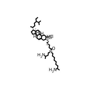 CCC(CCC(C)[C@H]1CC[C@H]2[C@@H]3CC=C4C[C@@H](SSCCC(=O)N(CCCCCCCC(C)N)CCC(C)N)CC[C@]4(C)[C@H]3CC[C@]12C)C(C)C.Cl.Cl